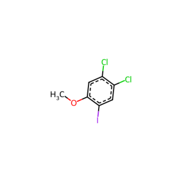 COc1cc(Cl)c(Cl)cc1I